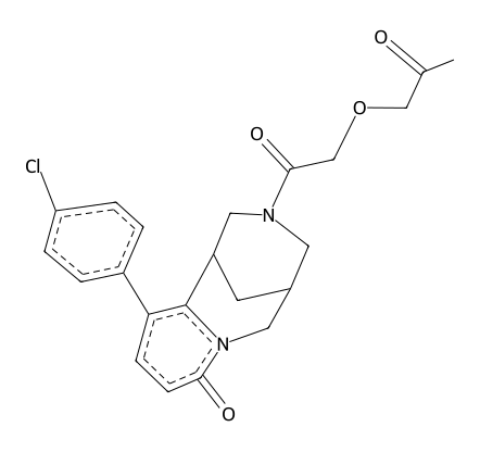 CC(=O)COCC(=O)N1CC2CC(C1)c1c(-c3ccc(Cl)cc3)ccc(=O)n1C2